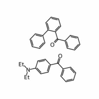 CCN(CC)c1ccc(C(=O)c2ccccc2)cc1.O=C(c1ccccc1)c1ccccc1-c1ccccc1